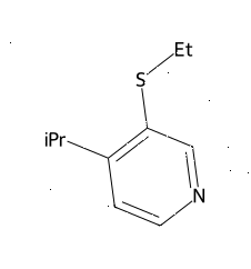 CCSc1cnccc1C(C)C